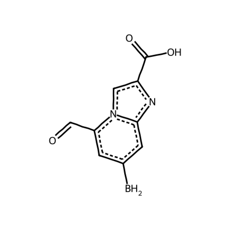 Bc1cc(C=O)n2cc(C(=O)O)nc2c1